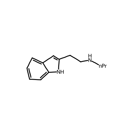 CCCNCCc1cc2ccccc2[nH]1